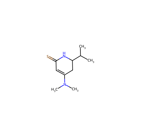 CC(C)C1CC(N(C)C)=CC(=S)N1